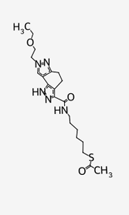 CCOCCn1cc2c(n1)CCc1c(C(=O)NCCCCCCSC(C)=O)n[nH]c1-2